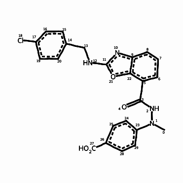 CN(NC(=O)c1cccc2nc(NCc3ccc(Cl)cc3)oc12)c1ccc(C(=O)O)cc1